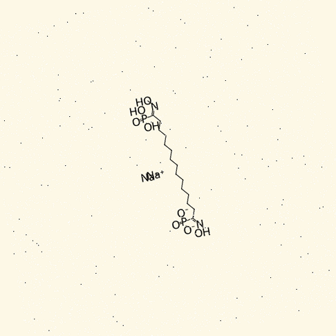 O=P([O-])([O-])C(CCCCCCCCCCCCCC(=NO)P(=O)(O)O)=NO.[Na+].[Na+]